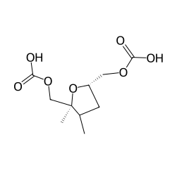 CC1C[C@@H](COC(=O)O)O[C@]1(C)COC(=O)O